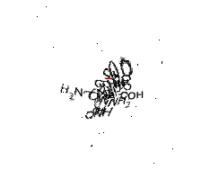 CC(=O)Nc1ccc2ccccc2c1C(=O)C(CS)NC(=O)C(NC(=O)C(CCCCN)NC(=O)[C@@H](Cc1c[nH]c2ccccc12)NC(=O)C(N)Cc1ccc(O)cc1)C(C)C